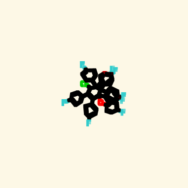 Fc1ccc(OC2(c3ccc(F)cc3)C(c3ccc(F)cc3)=C(c3ccc(F)cc3)C(Cl)C(c3ccc(F)cc3)(c3ccc(F)cc3)C2(c2ccc(F)cc2)c2ccc(F)cc2)cc1